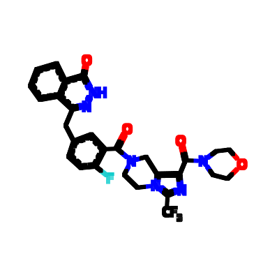 O=C(c1cc(Cc2n[nH]c(=O)c3ccccc23)ccc1F)N1CCn2c(C(F)(F)F)nc(C(=O)N3CCOCC3)c2C1